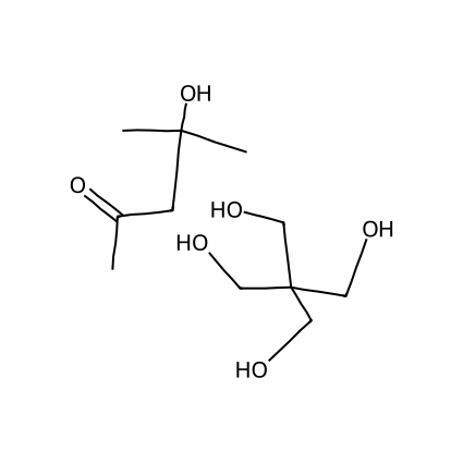 CC(=O)CC(C)(C)O.OCC(CO)(CO)CO